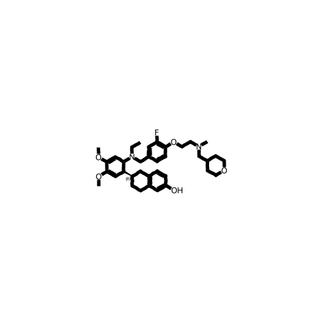 CCN(Cc1ccc(OCCN(C)CC2CCOCC2)c(F)c1)C1C=C(OC)C(OC)=CC1[C@@H]1CCc2cc(O)ccc2C1